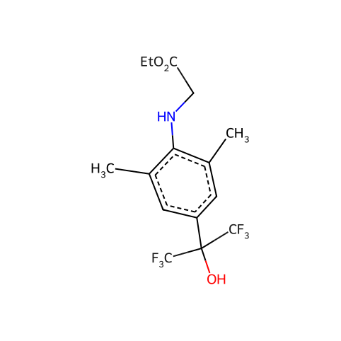 CCOC(=O)CNc1c(C)cc(C(O)(C(F)(F)F)C(F)(F)F)cc1C